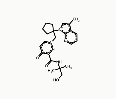 Cc1cn(C2(Cn3ccc(=O)c(C(=O)NC(C)(C)CO)n3)CCCC2)c2ncccc12